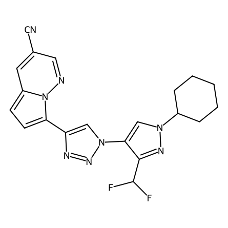 N#Cc1cnn2c(-c3cn(-c4cn(C5CCCCC5)nc4C(F)F)nn3)ccc2c1